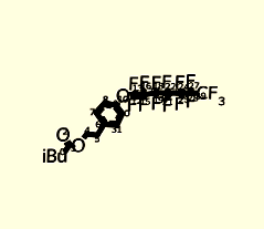 CCC(C)C(=O)OCCc1ccc(OC(F)(F)C(F)(F)C(F)(F)C(F)(F)C(F)(F)C(F)(F)C(F)(F)F)cc1